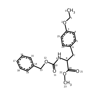 CCOc1ccc(CC(NC(=O)OCc2ccccc2)C(=O)OC)cc1